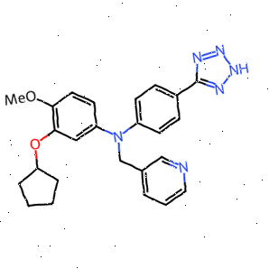 COc1ccc(N(Cc2cccnc2)c2ccc(-c3nn[nH]n3)cc2)cc1OC1CCCC1